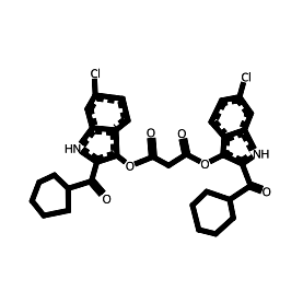 O=C(CC(=O)Oc1c(C(=O)C2CCCCC2)[nH]c2cc(Cl)ccc12)Oc1c(C(=O)C2CCCCC2)[nH]c2cc(Cl)ccc12